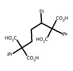 CCC(CCC(C(=O)O)(C(=O)O)C(C)C)C(C(=O)O)(C(=O)O)C(C)C